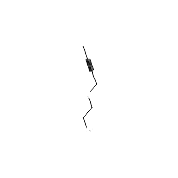 CC#CCOCCO